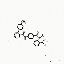 Cc1ccc(-c2ccccc2C(=O)Nc2ccc(C(=O)N(C)c3ccccc3C(C)C)cc2)cc1